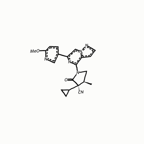 COc1ccc(-c2cn3nccc3c(N3C[C@@H](C)[C@@](C#N)(C4CC4)C3=O)n2)cn1